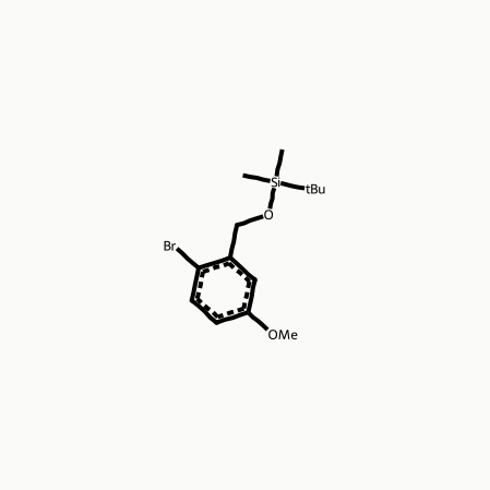 COc1ccc(Br)c(CO[Si](C)(C)C(C)(C)C)c1